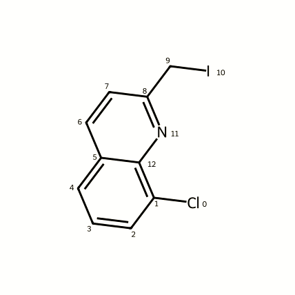 Clc1cccc2ccc(CI)nc12